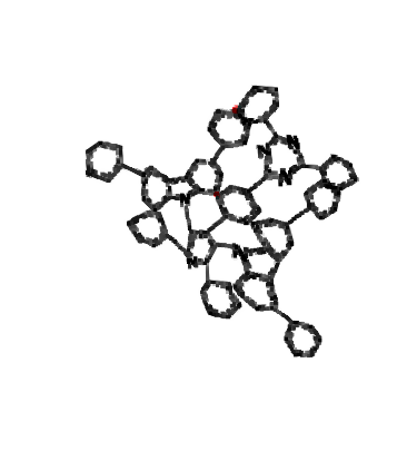 c1ccc(-c2ccc3c(c2)c2cc(-c4ccccc4)ccc2n3-c2c(-c3ccccc3)nc(-c3ccccc3)c(-n3c4ccc(-c5ccccc5)cc4c4cc(-c5ccccc5)ccc43)c2-c2ccc(-c3nc(-c4ccccc4)nc(-c4ccccc4)n3)cc2)cc1